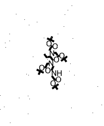 CCC(CN(CCNCC(=O)OC(C)(C)C)CC(=O)OC(C)(C)C)N(CC(=O)OC(C)(C)C)CC(=O)OC(C)(C)C